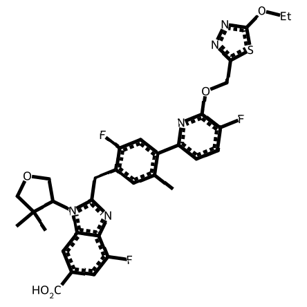 CCOc1nnc(COc2nc(-c3cc(F)c(Cc4nc5c(F)cc(C(=O)O)cc5n4C4COCC4(C)C)cc3C)ccc2F)s1